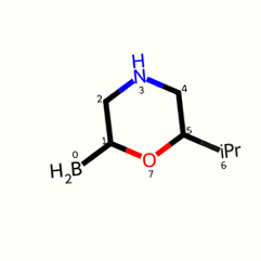 BC1CNCC(C(C)C)O1